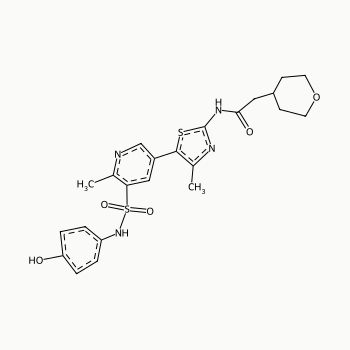 Cc1ncc(-c2sc(NC(=O)CC3CCOCC3)nc2C)cc1S(=O)(=O)Nc1ccc(O)cc1